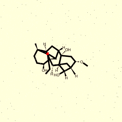 CCN1C[C@]2(C)CC[C@H](O)[C@]34C1[C@H](C[C@H]23)[C@@]1(O)C[C@H](OC)[C@H]2C[C@@H]4[C@@H]1[C@H]2O